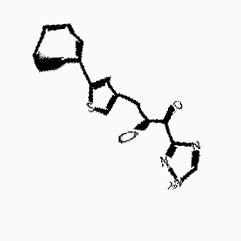 O=C(Cc1csc(-c2ccccc2)c1)C(=O)c1nc[nH]n1